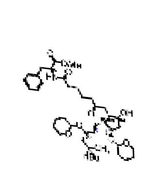 CCCC[C@H](C)C[C@H](/C=C/[C@@H]1[C@@H](CC(=O)CCCCC(=O)N[C@@H](Cc2ccccc2)C(=O)OC)[C@@H](O)C[C@H]1OC1CCCCO1)OC1CCCCO1